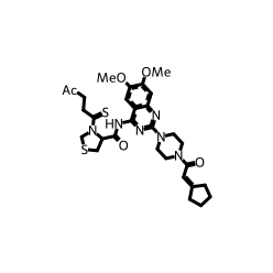 COc1cc2nc(N3CCN(C(=O)C=C4CCCC4)CC3)nc(NC(=O)C3CSCN3C(=S)CCC(C)=O)c2cc1OC